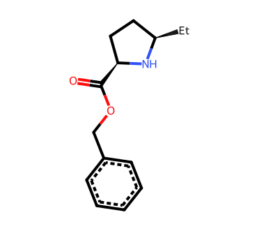 CC[C@@H]1CC[C@H](C(=O)OCc2ccccc2)N1